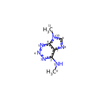 CNc1nnnc2c1ncn2C